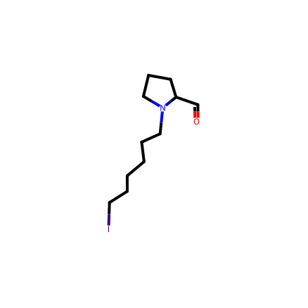 O=CC1CCCN1CCCCCCI